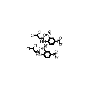 O=[N+]([O-])c1ccc(NN=CC(Cl)Cl)c([N+](=O)[O-])c1.O=[N+]([O-])c1ccc(NN=CC(Cl)Cl)c([N+](=O)[O-])c1